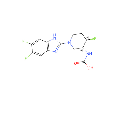 O=C(O)N[C@@H]1CN(c2nc3cc(F)c(F)cc3[nH]2)CC[C@H]1F